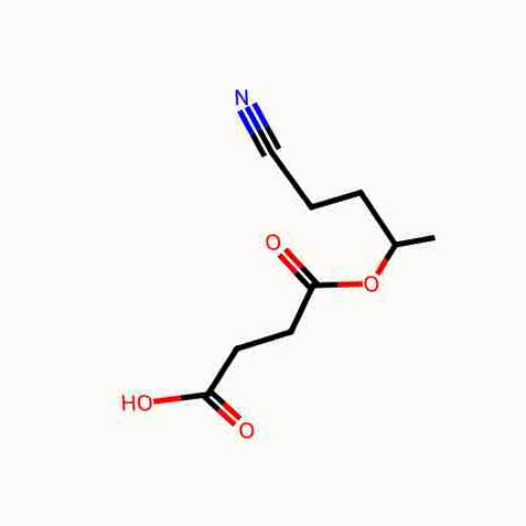 CC(CCC#N)OC(=O)CCC(=O)O